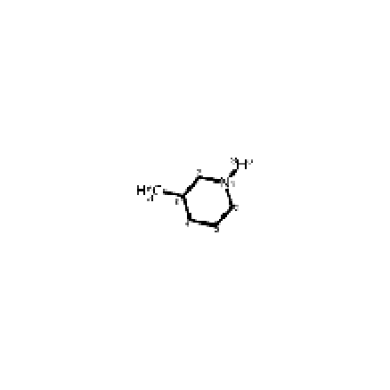 [3H]N1CCCC(C)C1